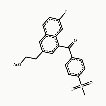 CC(=O)OCCc1cc(C(=O)c2ccc(S(C)(=O)=O)cc2)c2cc(F)ccc2c1